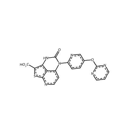 O=C(O)c1sc2nccc3c2c1NC(=O)N3c1ccc(Oc2ncccn2)cn1